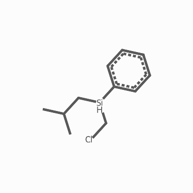 CC(C)C[SiH](CCl)c1ccccc1